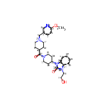 COc1ccc(CN2CCC(C(=O)N3CCC(n4c(=O)n(CCO)c5ccccc54)CC3)CC2)cn1